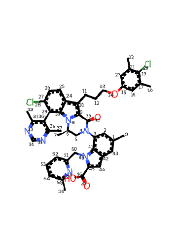 Cc1cc(N2C[C@@H](C)n3c(c(CCCOc4cc(C)c(Cl)c(C)c4)c4ccc(Cl)c(-c5c(C)ncnc5C)c43)C2=O)c2c(c1)cc(C(=O)O)n2Cc1cccc(C)n1